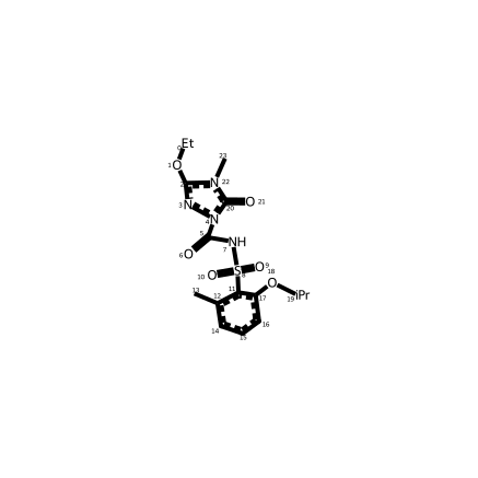 CCOc1nn(C(=O)NS(=O)(=O)c2c(C)cccc2OC(C)C)c(=O)n1C